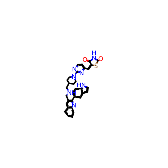 O=C1NC(=O)/C(=C\c2ccnc(N3CCC(CNCc4cc5ccccc5nc4-c4ccc5[nH]ccc5c4)CC3)n2)S1